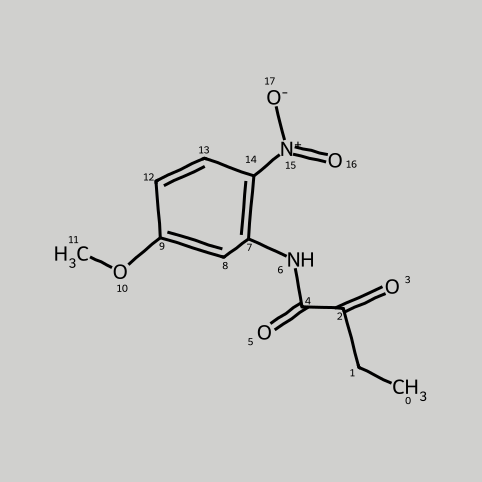 CCC(=O)C(=O)Nc1cc(OC)ccc1[N+](=O)[O-]